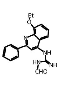 CCOc1cccc2c(NC(=N)NC=O)cc(-c3ccccc3)nc12